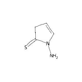 NN1C=CCC1=S